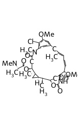 CN[C@@H](C)C(=O)O[C@H]1CC(=O)N(C)c2cc(cc(OC)c2Cl)C/C(C)=C/C=C/[C@@H](OC)[C@@]2(O)CC(OC(=O)N2)[C@@H](C)[C@H]2C[C@@]12C